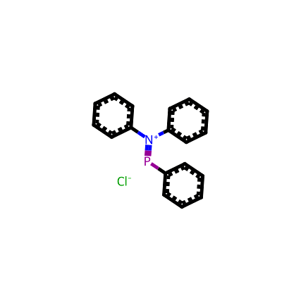 [Cl-].c1ccc(P=[N+](c2ccccc2)c2ccccc2)cc1